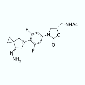 CC(=O)NC[C@H]1CN(c2cc(F)c(N3C/C(=N\N)C4(CC4)C3)c(F)c2)C(=O)O1